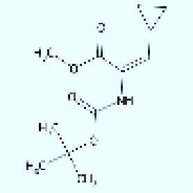 COC(=O)/C(=C\C1CC1)NC(=O)OC(C)(C)C